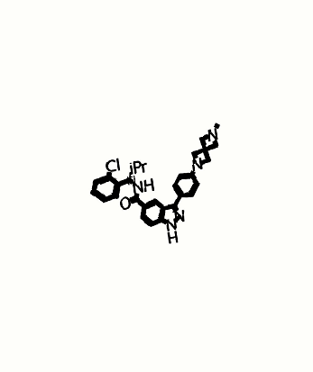 CC(C)[C@H](NC(=O)c1ccc2[nH]nc(-c3ccc(N4CC5(CN(C)C5)C4)cc3)c2c1)c1ccccc1Cl